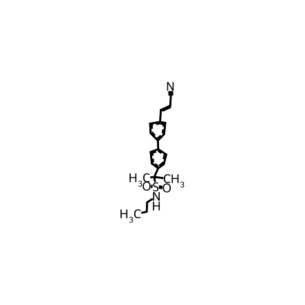 CCCNS(=O)(=O)C(C)(C)c1ccc(-c2ccc(C=CC#N)cc2)cc1